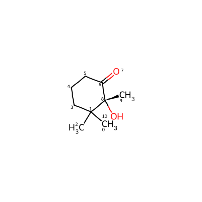 CC1(C)CCCC(=O)[C@]1(C)O